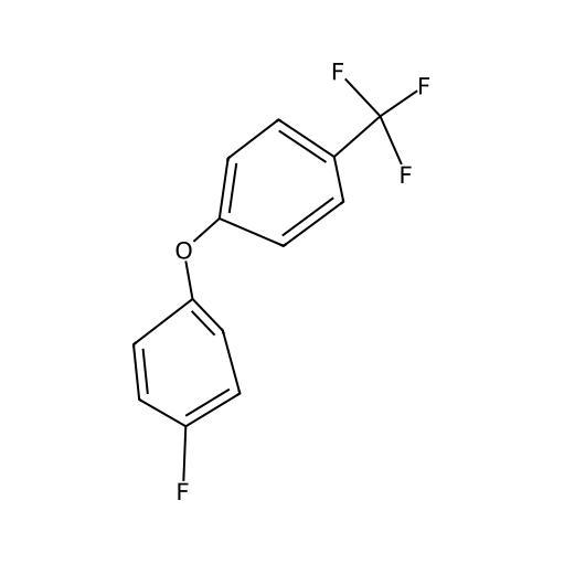 Fc1ccc(Oc2ccc(C(F)(F)F)cc2)cc1